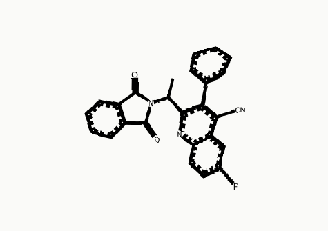 CC(c1nc2ccc(F)cc2c(C#N)c1-c1ccccc1)N1C(=O)c2ccccc2C1=O